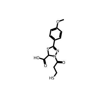 COc1ccc(C2=NN(C(=O)CCS)C(C(=O)O)S2)cc1